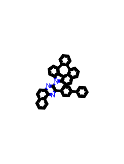 c1ccc(-c2ccc(-c3nc4c(ccc5ccccc54)nc3-n3c4cccc5c4c4c6c(cccc6ccc43)-c3ccccc3-5)cc2)cc1